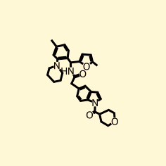 Cc1ccc(C(NC(=O)Cc2ccc3c(ccn3C(=O)C3CCOCC3)c2)c2ccc(C)o2)c(N2CCCCC2)c1